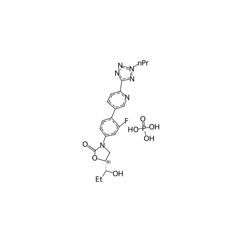 CCCn1nnc(-c2ccc(-c3ccc(N4C[C@H](C(O)CC)OC4=O)cc3F)cn2)n1.O=P(O)(O)O